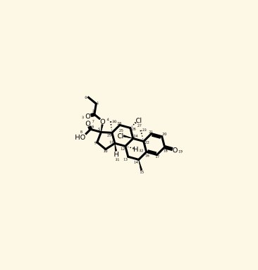 CCC(=O)O[C@]1(C(=O)O)CC[C@H]2[C@@H]3C[C@H](C)C4=CC(=O)C=C[C@]4(C)[C@@]3(Cl)[C@@H](Cl)C[C@@]21C